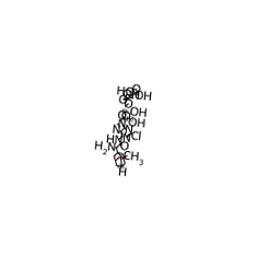 CC12CC3C[C@@H](C1)CC(C(N)C(=O)Nc1nc(Cl)nc4c1ncn4[C@@H]1O[C@H](COP(=O)(O)CP(=O)(O)O)C(O)[C@@H]1O)(C3)C2